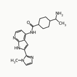 CC(N)C1CCC(C(=O)Nc2ccnc3[nH]c(-c4nccn4C)cc23)CC1